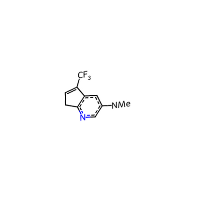 CNc1cnc2c(c1)C(C(F)(F)F)=CC2